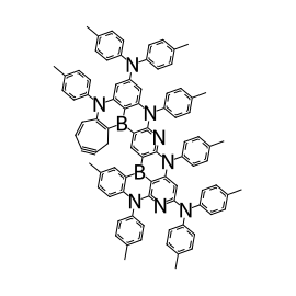 Cc1ccc(N2C3=C(CC#CC=C3)B3c4cc5c(nc4N(c4ccc(C)cc4)c4cc(N(c6ccc(C)cc6)c6ccc(C)cc6)cc2c43)N(c2ccc(C)cc2)c2cc(N(c3ccc(C)cc3)c3ccc(C)cc3)nc3c2B5c2cc(C)ccc2N3c2ccc(C)cc2)cc1